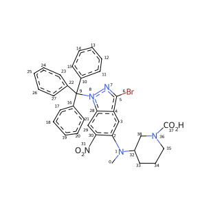 CN(c1cc2c(Br)nn(C(c3ccccc3)(c3ccccc3)c3ccccc3)c2cc1[N+](=O)[O-])C1CCCN(C(=O)O)C1